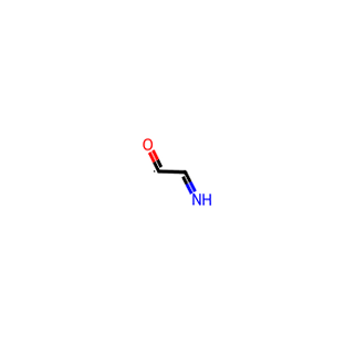 N=C[C]=O